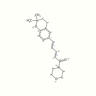 CC1(C)CCc2cc(/C=C/C=C/C(=O)N3CCOCC3)ccc2O1